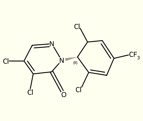 O=c1c(Cl)c(Cl)cnn1[C@H]1C(Cl)=CC(C(F)(F)F)=CC1Cl